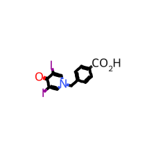 O=C(O)c1ccc(Cn2cc(I)c(=O)c(I)c2)cc1